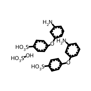 Nc1cccc(Oc2ccc(S(=O)(=O)O)cc2)c1.Nc1cccc(Oc2ccc(S(=O)(=O)O)cc2)c1.O=S(=O)(O)O